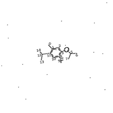 Cc1cc(OC(C)C)c(F)cc1C(C)C